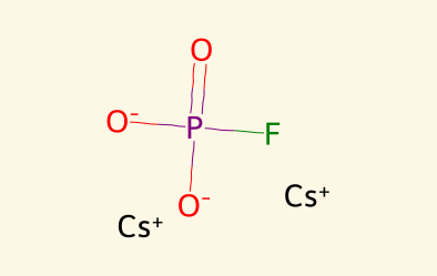 O=P([O-])([O-])F.[Cs+].[Cs+]